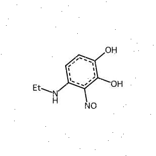 CCNc1ccc(O)c(O)c1N=O